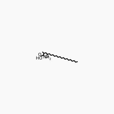 CCCCCCCCCCCCCCCCCC(=O)CC(C)[C@@H](N)C(=O)O